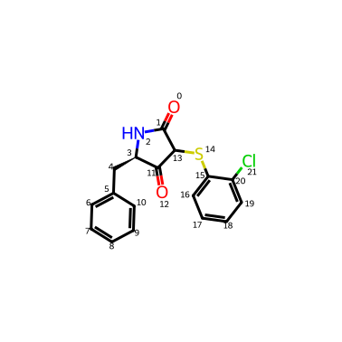 O=C1N[C@H](Cc2ccccc2)C(=O)C1Sc1ccccc1Cl